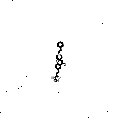 O=C(/C=C/c1ccc2c(c1)C(=O)CC1(CCN(CCc3ccccc3)CC1)O2)NO